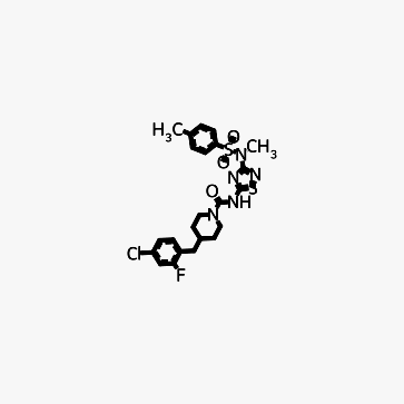 Cc1ccc(S(=O)(=O)N(C)c2nsc(NC(=O)N3CCC(Cc4ccc(Cl)cc4F)CC3)n2)cc1